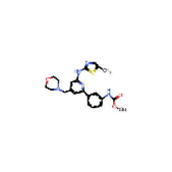 Cc1cnc(Nc2cc(CN3CCOCC3)cc(-c3cccc(NC(=O)OC(C)(C)C)c3)n2)s1